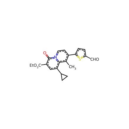 CCOC(=O)c1cc(C2CC2)c2c(C)c(-c3ccc(C=O)s3)ccn2c1=O